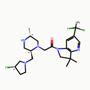 CCCC(F)(F)c1cnc2c(c1)N(C(=O)CN1C[C@@H](C)NC[C@@H]1CN1CC[C@@H](F)C1)CC2(C)C